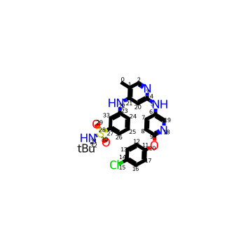 Cc1cnc(Nc2ccc(Oc3ccc(Cl)cc3)nc2)cc1Nc1cccc(S(=O)(=O)NC(C)(C)C)c1